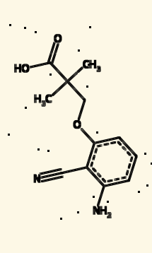 CC(C)(COc1cccc(N)c1C#N)C(=O)O